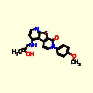 COc1ccc(-n2ccc3c(sc4nccc(NC[C@@H](C)O)c43)c2=O)cc1